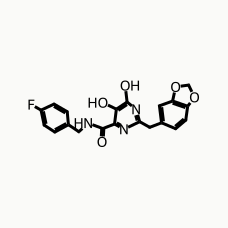 O=C(NCc1ccc(F)cc1)c1nc(Cc2ccc3c(c2)OCO3)nc(O)c1O